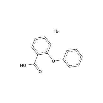 O=C(O)c1ccccc1Oc1ccccc1.[Tb]